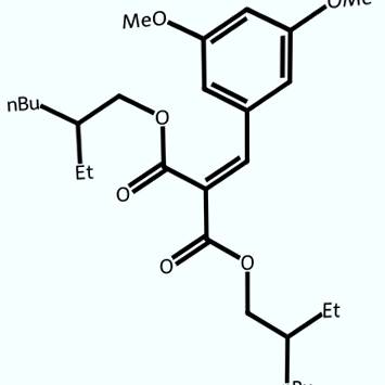 CCCCC(CC)COC(=O)C(=Cc1cc(OC)cc(OC)c1)C(=O)OCC(CC)CCCC